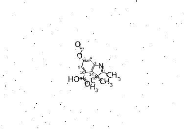 CC1=Nc2cc(OC=O)cc(C(=O)O)c2C1(C)C